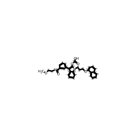 COCCNC(=O)c1cccc(-c2c(OC(=O)O)n(CCCOc3cccc4ccccc34)c3ccccc23)c1